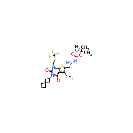 Cc1c(CNNC(=O)OC(C)(C)C)sc2c1c(=O)n(C1CC3(CCC3)C1)c(=O)n2CCC(F)(F)F